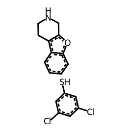 Sc1cc(Cl)cc(Cl)c1.c1ccc2c3c(oc2c1)CNCC3